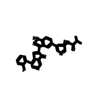 CC(C)C(=O)Nc1cncc(-c2ccc3[nH]nc(-c4cc5c(-c6ccccc6F)cncc5[nH]4)c3c2)c1